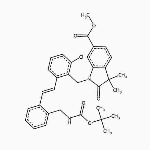 COC(=O)c1ccc2c(c1)N(Cc1c(Cl)cccc1/C=C/c1ccccc1CNC(=O)OC(C)(C)C)C(=O)C2(C)C